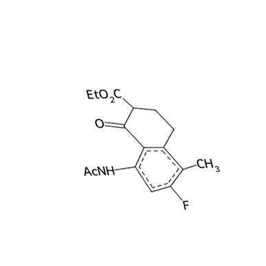 CCOC(=O)C1CCc2c(C)c(F)cc(NC(C)=O)c2C1=O